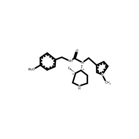 CC(C)COc1ccc(CNC(=O)N(Cc2ccn(C)c2)[C@@H]2CCNC[C@@H]2F)cc1